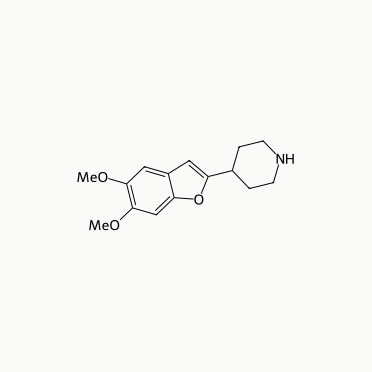 COc1cc2cc(C3CCNCC3)oc2cc1OC